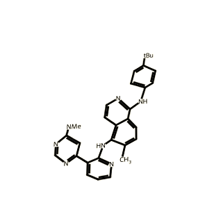 CNc1cc(-c2cccnc2Nc2c(C)ccc3c(Nc4ccc(C(C)(C)C)cc4)nccc23)ncn1